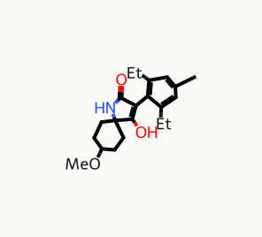 CCc1cc(C)cc(CC)c1C1=C(O)C2(CCC(OC)CC2)NC1=O